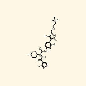 CCc1c(-c2ccc(NC(=O)[C@@H](NC(=O)c3ccnn3C)C3CCC(C)CC3)nc2F)c(C)nn1COCC[Si](C)(C)C